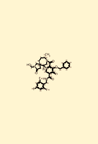 C[C@H]1CC[C@]2(CC(=O)N(CO)C2)[C@H]2CN1C(=O)c1c(OCc3ccccc3)c(=O)c(C(=O)NCc3c(F)cc(F)cc3F)cn12